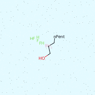 B.CCCCCCCCO.F.F.F